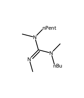 CCCCCN(C)C(=NC)N(C)CCCC